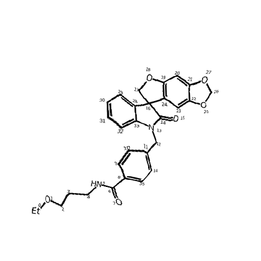 CCOCCCNC(=O)c1ccc(CN2C(=O)C3(COc4cc5c(cc43)OCO5)c3ccccc32)cc1